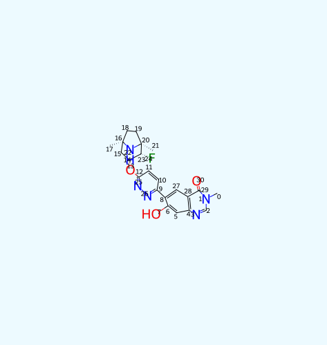 Cn1cnc2cc(O)c(-c3ccc(O[C@@H]4C[C@@]5(C)CC[C@](C)(N5)[C@@H]4F)nn3)cc2c1=O